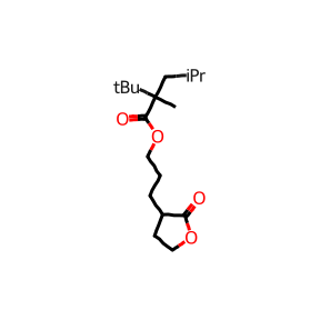 CC(C)CC(C)(C(=O)OCCCC1CCOC1=O)C(C)(C)C